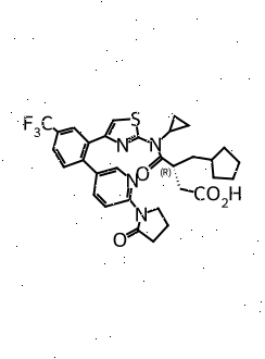 O=C(O)C[C@@H](CC1CCCC1)C(=O)N(c1nc(-c2cc(C(F)(F)F)ccc2-c2ccc(N3CCCC3=O)nc2)cs1)C1CC1